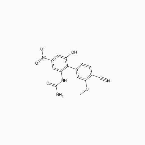 COc1cc(-c2c(O)cc([N+](=O)[O-])cc2NC(N)=O)ccc1C#N